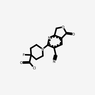 N#Cc1cc2c(nc1N1CCC(F)(C(=O)Cl)CC1)COC2=O